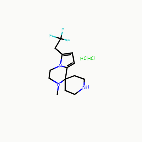 CN1CCn2c(CC(F)(F)F)ccc2C12CCNCC2.Cl.Cl